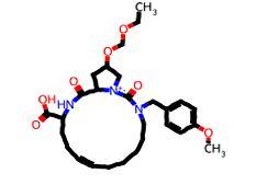 CCOCOC1CC2C(=O)NC(C(=O)O)CCC=CCCCCCN(Cc3ccc(OC)cc3)C(=O)[N+]2C1